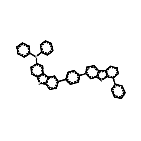 c1ccc(-c2cccc3c2sc2cc(-c4ccc(-c5ccc6sc7ccc(N(c8ccccc8)c8ccccc8)cc7c6c5)cc4)ccc23)cc1